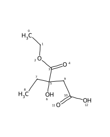 CCOC(=O)C(O)(CC)CC(=O)O